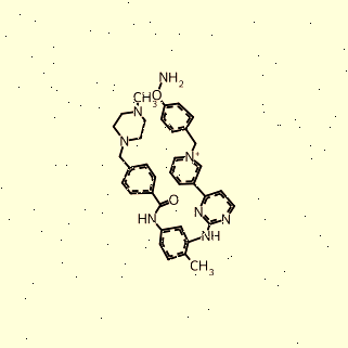 Cc1ccc(NC(=O)c2ccc(CN3CCN(C)CC3)cc2)cc1Nc1nccc(-c2ccc[n+](Cc3ccc(ON)cc3)c2)n1